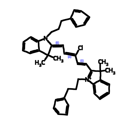 CC1(C)C(/C=C/C(Cl)=C/C=C2/N(CCCc3ccccc3)c3ccccc3C2(C)C)=[N+](CCCc2ccccc2)c2ccccc21